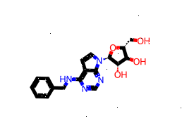 OC[C@H]1O[C@@H](n2ccc3c(NCc4ccccc4)ncnc32)[C@@H](O)C1O